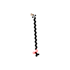 C=C(C)C(=O)OCCCCCCCCCCCCCCCCCC[Si](C)(C)Br